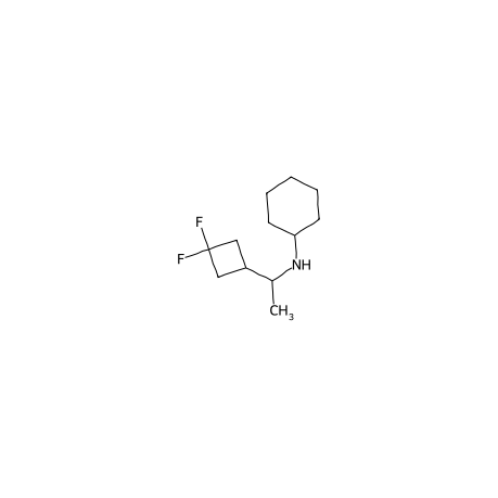 CC(NC1CCCCC1)C1CC(F)(F)C1